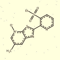 CCS(=O)(=O)c1cccnc1-c1nc2cc(C)c[n+]([O-])c2s1